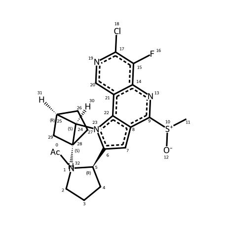 CC(=O)N1CCC[C@@H]1c1cc2c([S+](C)[O-])nc3c(F)c(Cl)ncc3c2n1[C@@H]1[C@@H]2CC[C@H]1C2